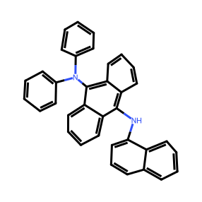 c1ccc(N(c2ccccc2)c2c3ccccc3c(Nc3cccc4ccccc34)c3ccccc23)cc1